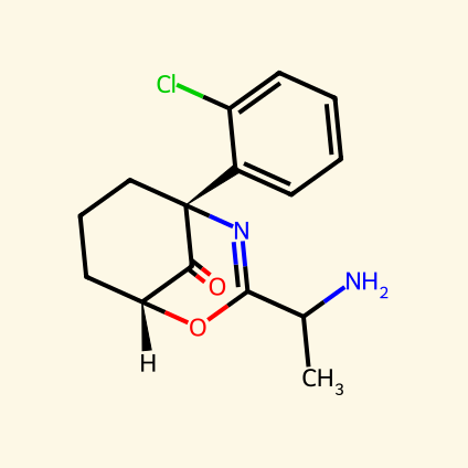 CC(N)C1=N[C@@]2(c3ccccc3Cl)CCC[C@@H](O1)C2=O